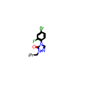 CC(C)Cn1ncn(-c2ccc(Br)cc2F)c1=O